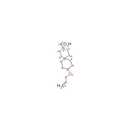 C=CCOC1CCC2(CC1)CCN(C(=O)O)CC2